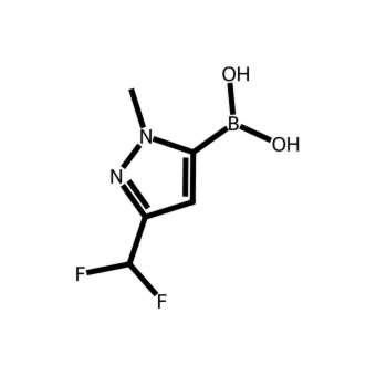 Cn1nc(C(F)F)cc1B(O)O